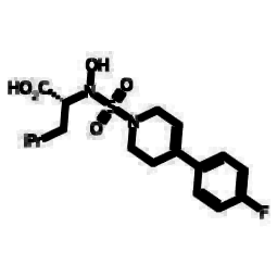 CC(C)C[C@H](C(=O)O)N(O)S(=O)(=O)N1CC=C(c2ccc(F)cc2)CC1